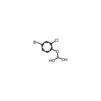 OB(O)Oc1ccc(Br)cc1Cl